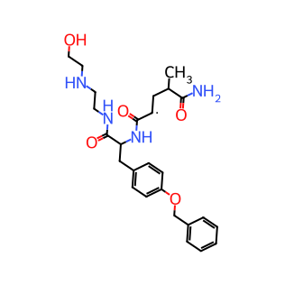 CC(C[CH]C(=O)NC(Cc1ccc(OCc2ccccc2)cc1)C(=O)NCCNCCO)C(N)=O